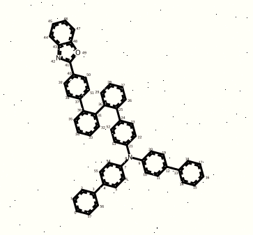 c1ccc(-c2ccc(N(c3ccc(-c4ccccc4)cc3)c3ccc(-c4ccccc4-c4ccccc4-c4ccc(-c5nc6ccccc6o5)cc4)cc3)cc2)cc1